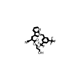 N#CC(=Cc1cn(Cc2cc(C(F)(F)F)cc(C(F)(F)F)c2)c2ncccc12)C(=O)OCCCO